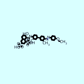 CCOc1ccc(/N=N/c2ccc(-c3ccc(N=Nc4c(O)ccc5cc(S(=O)(=O)O)cc(S(=O)(=O)O)c45)c(C)c3)cc2C)cc1